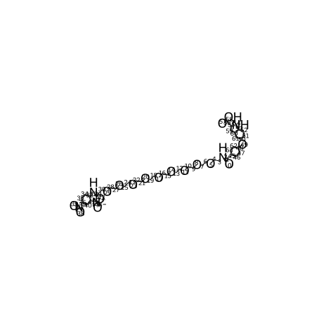 O=C(NCCOCCOCCOCCOCCOCCOCCOCCOCCOCCNc1ccc([N+](=O)[O-])cc1[N+](=O)[O-])c1ccc(Oc2ccc3[nH]c(C(=O)O)cc3c2)cc1